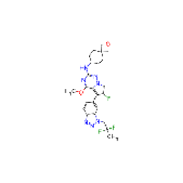 COc1nc(NC2CCC3(CC2)COC3)nn2cc(F)c(-c3ccc4nnn(CC(C)(F)F)c4c3)c12